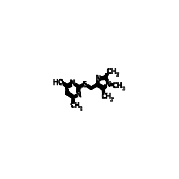 Cc1cc(O)nc(SCc2nc(C)n(C)c2C)n1